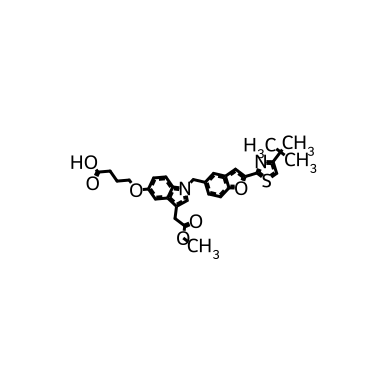 COC(=O)Cc1cn(Cc2ccc3oc(-c4nc(C(C)(C)C)cs4)cc3c2)c2ccc(OCCCC(=O)O)cc12